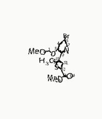 COCOc1cc(Br)cnc1-c1cc(C(=O)OC)sc1C